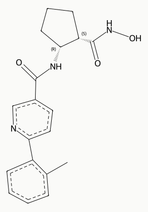 Cc1ccccc1-c1ccc(C(=O)N[C@@H]2CCC[C@@H]2C(=O)NO)cn1